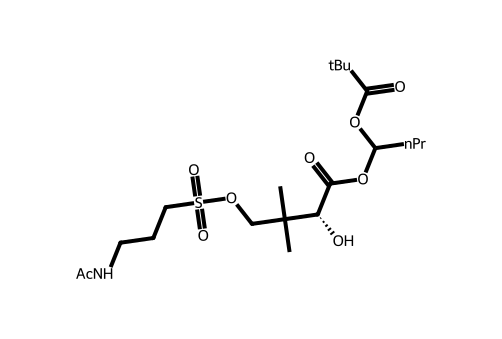 CCCC(OC(=O)[C@H](O)C(C)(C)COS(=O)(=O)CCCNC(C)=O)OC(=O)C(C)(C)C